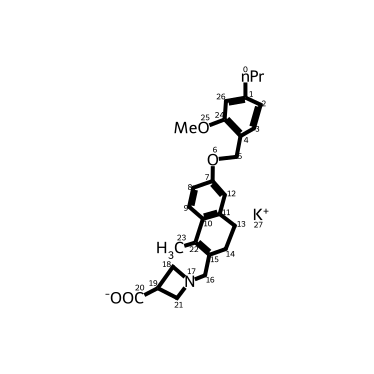 CCCc1ccc(COc2ccc3c(c2)CCC(CN2CC(C(=O)[O-])C2)=C3C)c(OC)c1.[K+]